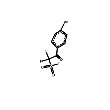 CC(=O)c1ccc(C(=O)C(F)(F)S(=O)(=O)F)cc1